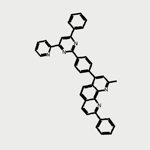 Cc1cc(-c2ccc(-c3nc(-c4ccccc4)cc(-c4ccccn4)n3)cc2)c2ccc3ccc(-c4ccccc4)nc3c2n1